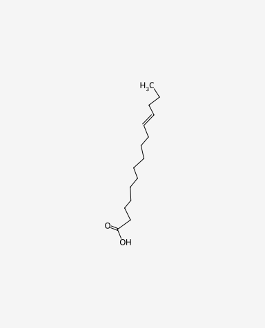 CCCC=CCCCCCCCCCC(=O)O